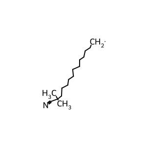 [CH2]CCCCCCCCCCCC(C)(C)C#N